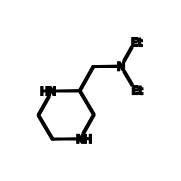 CCN(CC)CC1CNCCN1